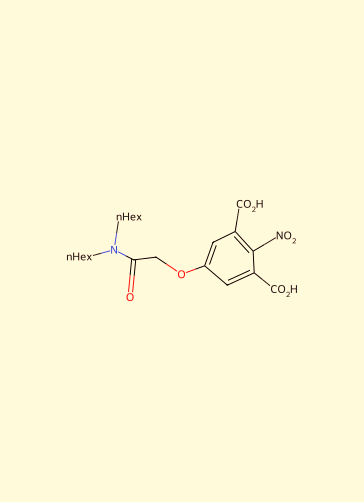 CCCCCCN(CCCCCC)C(=O)COc1cc(C(=O)O)c([N+](=O)[O-])c(C(=O)O)c1